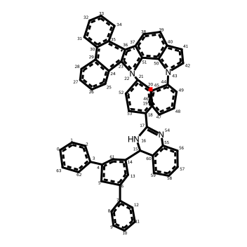 c1ccc(-c2cc(-c3ccccc3)cc(C3NC(c4ccc(-n5c6c7ccccc7c7ccccc7c6c6ccc7ccn(-c8ccccc8)c7c65)cc4)=Nc4ccccc43)c2)cc1